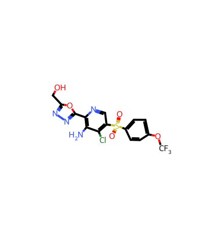 Nc1c(-c2nnc(CO)o2)ncc(S(=O)(=O)c2ccc(OC(F)(F)F)cc2)c1Cl